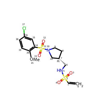 C=CS(=O)(=O)NC[C@H]1CCN(S(=O)(=O)c2cc(Cl)ccc2OC)C1